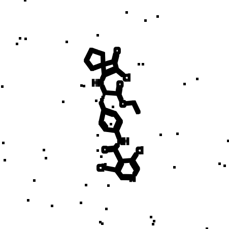 CCOC(=O)[C@H](Cc1ccc(NC(=O)c2c(Cl)cncc2Cl)cc1)NC1=C(Cl)C(=O)C12CCCC2